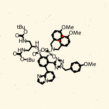 COc1ccc(CN(Cc2ccc(OC)cc2)S(=O)(=O)c2c(S(=O)(=O)NC(CNC(=O)OC(C)(C)C)CNC(=O)OC(C)(C)C)ccc(-c3cccn4ccnc34)c2-c2nnn(Cc3ccc(OC)cc3)n2)cc1